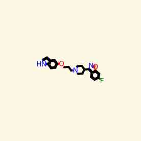 Fc1ccc2c(C3CCN(CCCOc4ccc5[nH]ccc5c4)CC3)noc2c1